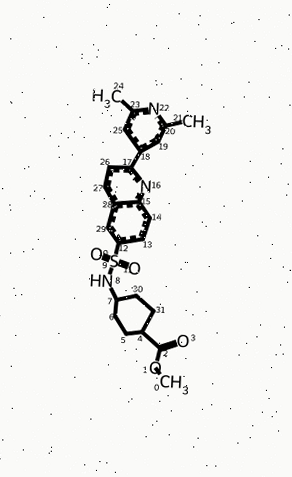 COC(=O)C1CCC(NS(=O)(=O)c2ccc3nc(-c4cc(C)nc(C)c4)ccc3c2)CC1